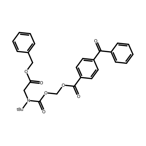 CC(C)(C)N(CC(=O)OCc1ccccc1)C(=O)OCOC(=O)c1ccc(C(=O)c2ccccc2)cc1